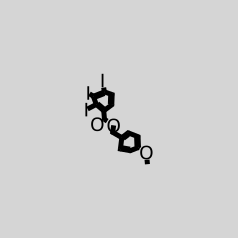 COc1ccc(COC(=O)c2ccc(I)c(I)c2I)cc1